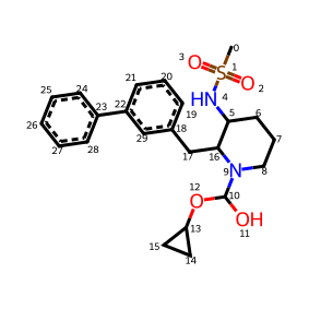 CS(=O)(=O)NC1CCCN(C(O)OC2CC2)C1Cc1cccc(-c2ccccc2)c1